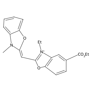 CCOC(=O)c1ccc2oc(C=C3Oc4ccccc4N3C)[n+](CC)c2c1